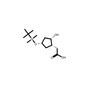 CC(C)(C)[Si](C)(C)O[C@H]1C[C@@H](CC(=O)O)[C@@H](O)C1